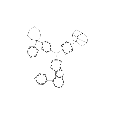 c1ccc(-c2cccc3oc4cc(N(c5ccc(C67CC8CC(CC(C8)C6)C7)cc5)c5ccc(C6(c7ccccc7)CCCCCC6)cc5)ccc4c23)cc1